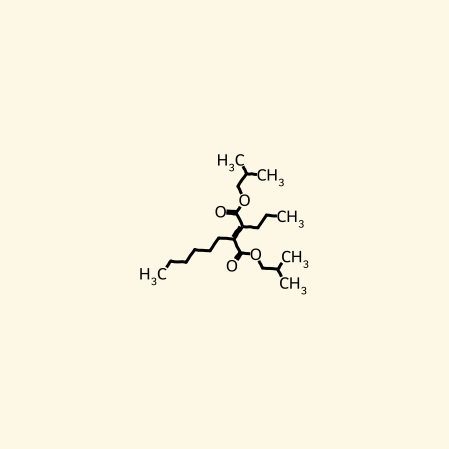 CCCCCCC(C(=O)OCC(C)C)=C(CCC)C(=O)OCC(C)C